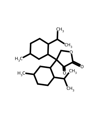 CC1CCC(C(C)C)C(C2(C3CC(C)CCC3C(C)C)COC(=O)C2=O)C1